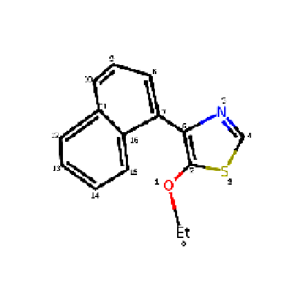 CCOc1s[c]nc1-c1cccc2ccccc12